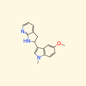 COc1ccc2c(c1)c(C1Cc3cccnc3N1)cn2C